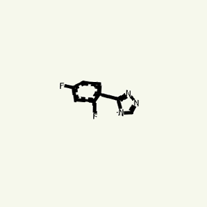 Fc1ccc(C2=NN=C[N]2)c(F)c1